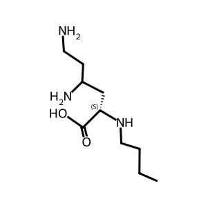 CCCCN[C@@H](CC(N)CCN)C(=O)O